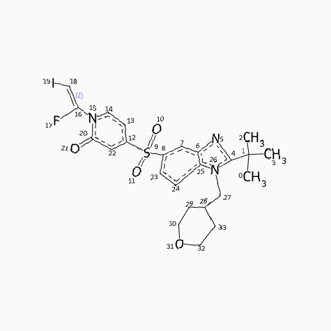 CC(C)(C)c1nc2cc(S(=O)(=O)c3ccn(/C(F)=C/I)c(=O)c3)ccc2n1CC1CCOCC1